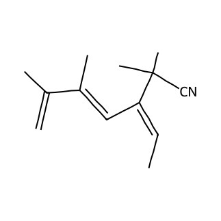 C=C(C)/C(C)=C/C(=C\C)C(C)(C)C#N